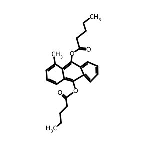 CCCCC(=O)Oc1c2ccccc2c(OC(=O)CCCC)c2c(C)cccc12